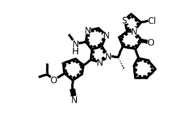 CNc1ncnc2c1c(-c1ccc(OC(C)C)c(C#N)c1)nn2[C@@H](C)c1cc2scc(Cl)n2c(=O)c1-c1ccccc1